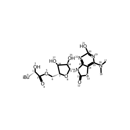 CCC(C)[C@H](O)C(=O)OC[C@H]1O[C@@H](n2c(=O)sc3c(N(C)C)nc(O)nc32)[C@H](O)[C@@H]1O